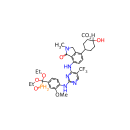 CCOC(OCC)([PH2]=O)c1ccc(Nc2ncc(C(F)(F)F)c(Nc3ccc(C4CCC(O)(C(=O)O)CC4)c4c3C(=O)N(C)C4)n2)c(OC)c1